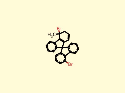 CC1(Br)CC=CC2=C1c1ccccc1C21c2ccccc2-c2c(Br)cccc21